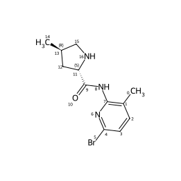 Cc1ccc(Br)nc1NC(=O)[C@@H]1C[C@@H](C)CN1